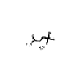 NC(Br)CCC(Br)(Br)Br.O